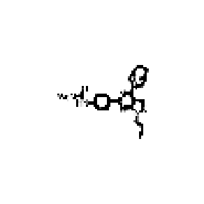 CNC(=O)Nc1ccc(-c2nc(N3CC4CCC(C3)O4)c3cnn(CCF)c3n2)cc1